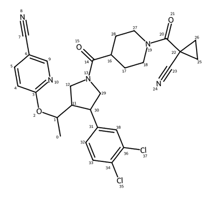 CC(Oc1ccc(C#N)cn1)C1CN(C(=O)C2CCN(C(=O)C3(C#N)CC3)CC2)CC1c1ccc(Cl)c(Cl)c1